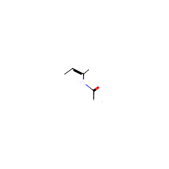 C/C=C(\NC(=O)CCCC)C(=O)O